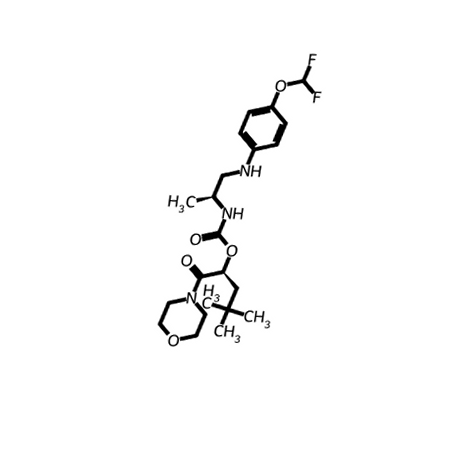 C[C@@H](CNc1ccc(OC(F)F)cc1)NC(=O)O[C@@H](CC(C)(C)C)C(=O)N1CCOCC1